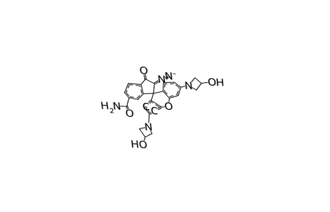 [N-]=[N+]=C1C(=O)c2ccc(C(N)=O)cc2C12c1ccc(N3CC(O)C3)cc1Oc1cc(N3CC(O)C3)ccc12